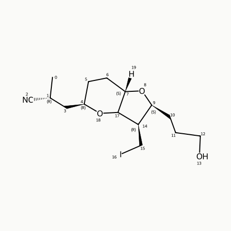 C[C@@H](C#N)C[C@H]1CC[C@@H]2O[C@@H](CCCO)[C@@H](CI)C2O1